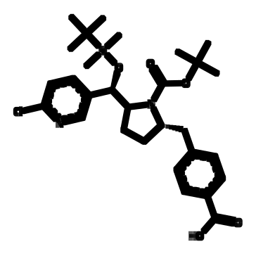 CC(C)(C)OC(=O)N1C([C@H](O[Si](C)(C)C(C)(C)C)c2ccc(Cl)nc2)CC[C@H]1Cc1ccc(C(=O)O)cc1